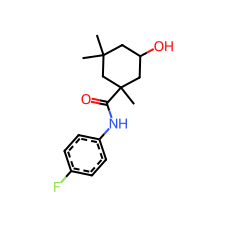 CC1(C)CC(O)CC(C)(C(=O)Nc2ccc(F)cc2)C1